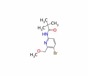 COCc1nc(NC(=O)C(C)(C)C)ccc1Br